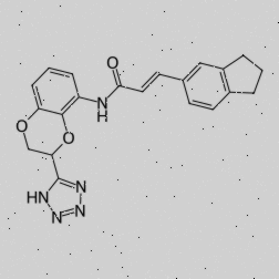 O=C(C=Cc1ccc2c(c1)CCC2)Nc1cccc2c1OC(c1nnn[nH]1)CO2